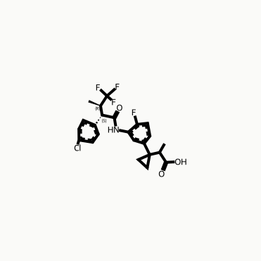 CC(C(=O)O)C1(c2ccc(F)c(NC(=O)[C@H](c3ccc(Cl)cc3)[C@@H](C)C(F)(F)F)c2)CC1